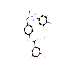 CCOc1cc(F)cc(C(Oc2ccc(CN(C)S(=O)(=O)c3ccc(F)cc3)cc2)C(=O)O)c1